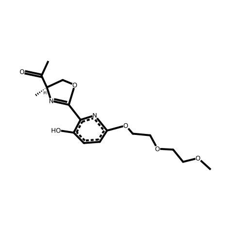 COCCOCCOc1ccc(O)c(C2=N[C@@](C)(C(C)=O)CO2)n1